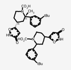 CC(C)(C)c1cccc(C2CC(c3cc(=O)[nH]o3)CCN2C(=O)O)c1.CC(C)(C)c1cccc([C@]2(C)C[C@H](c3cc(=O)[nH]o3)CCN2C(=O)O)c1